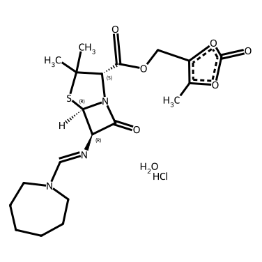 Cc1oc(=O)oc1COC(=O)[C@@H]1N2C(=O)[C@@H](N=CN3CCCCCC3)[C@H]2SC1(C)C.Cl.O